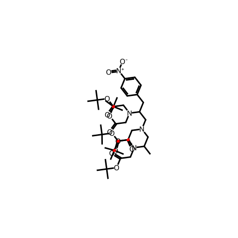 CC(CN(CC(=O)OC(C)(C)C)CC(Cc1ccc([N+](=O)[O-])cc1)N(CC(=O)OC(C)(C)C)CC(=O)OC(C)(C)C)N(CC(=O)OC(C)(C)C)CC(=O)OC(C)(C)C